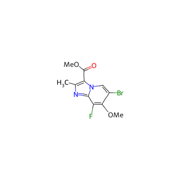 COC(=O)c1c(C)nc2c(F)c(OC)c(Br)cn12